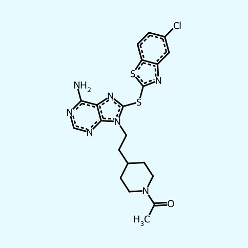 CC(=O)N1CCC(CCn2c(Sc3nc4cc(Cl)ccc4s3)nc3c(N)ncnc32)CC1